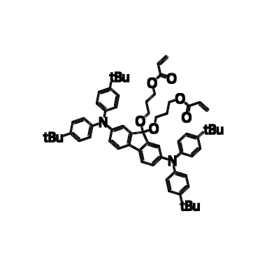 C=CC(=O)OCCCOC1(OCCCOC(=O)C=C)c2cc(N(c3ccc(C(C)(C)C)cc3)c3ccc(C(C)(C)C)cc3)ccc2-c2ccc(N(c3ccc(C(C)(C)C)cc3)c3ccc(C(C)(C)C)cc3)cc21